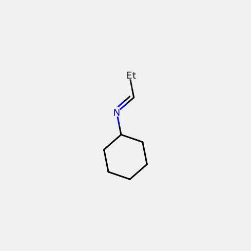 CC/C=N/C1CCCCC1